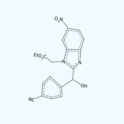 CCOC(=O)Cn1c(C(O)c2ccc(C#N)cc2)nc2ccc([N+](=O)[O-])cc21